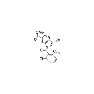 COC(=O)c1ccc2c(Br)cn(C(=O)c3c(Cl)cccc3C(F)(F)F)c2c1